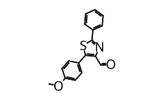 COc1ccc(-c2sc(-c3ccccc3)nc2C=O)cc1